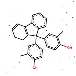 Cc1cc(C2(c3ccc(O)c(C)c3)C3=C(C=CCC3)c3ccccc32)ccc1O